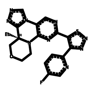 CC[C@@]12COCCN1c1nc(-c3snnc3-c3ccc(F)cn3)ncc1-n1cnnc12